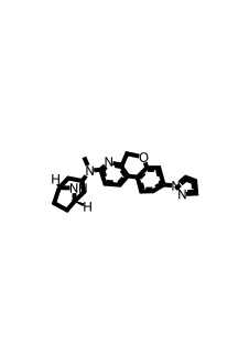 CN(c1ccc2c(n1)COc1cc(-n3cccn3)ccc1-2)C1C[C@H]2CC[C@@H](C1)N2